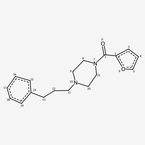 O=C(c1ccco1)N1CCN(CCCc2ccccc2)CC1